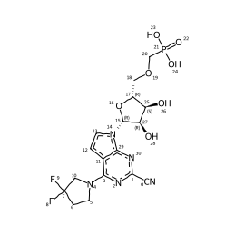 N#Cc1nc(N2CCC(F)(F)C2)c2ccn([C@@H]3O[C@H](COCP(=O)(O)O)[C@@H](O)[C@H]3O)c2n1